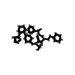 CC(c1ccccc1)N1C=C2C(=NC(C)N2Cc2ccc(-c3ccccc3-c3nnn[nH]3)cc2)N(CCc2ccccc2)C1